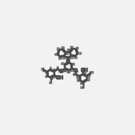 Oc1c(I)cc(I)cc1COc1cc(OCc2cc(I)cc(I)c2O)cc([SH]2c3ccccc3-c3ccccc32)c1